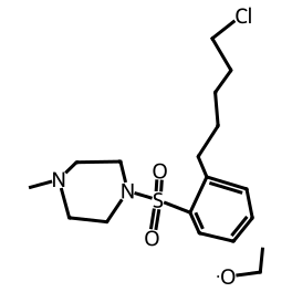 CC[O].CN1CCN(S(=O)(=O)c2ccccc2CCCCCCl)CC1